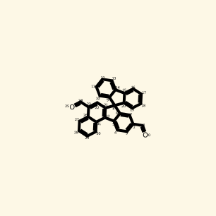 O=Cc1ccc2c(c1)C1(c3ccccc3-c3ccccc31)c1cc(C=O)c3ccccc3c1-2